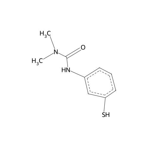 CN(C)C(=O)Nc1cccc(S)c1